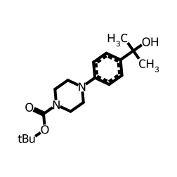 CC(C)(C)OC(=O)N1CCN(c2ccc(C(C)(C)O)cc2)CC1